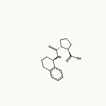 O=C(O)[C@@H]1CCC[C@H]1C(=O)N[C@@H]1CCCc2ccccc21